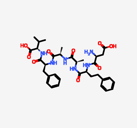 CC(C)[C@H](NC(=O)[C@H](Cc1ccccc1)NC(=O)[C@H](C)NC(=O)[C@H](C)NC(=O)[C@H](CCc1ccccc1)NC(=O)[C@@H](N)CC(=O)O)C(=O)O